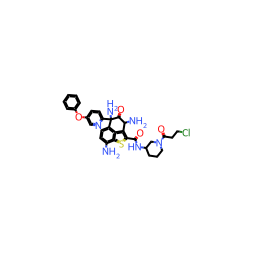 Nc1ccc2c3c(c(C(=O)NC4CCCN(C(=O)CCCl)C4)sc13)C(N)C(=O)C2(N)c1ccc(Oc2ccccc2)cn1